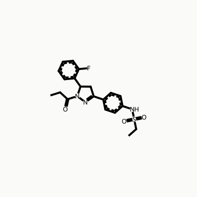 CCC(=O)N1N=C(c2ccc(NS(=O)(=O)CC)cc2)CC1c1ccccc1F